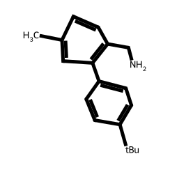 Cc1ccc(CN)c(-c2ccc(C(C)(C)C)cc2)c1